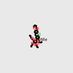 C=CCOC[C@H]1OC(OOC)(c2ccc(Cl)c(Cc3ccc(OC4CCCO4)cc3)c2)[C@H](OCC=C)[C@@H](OCC=C)[C@H]1OCC=C